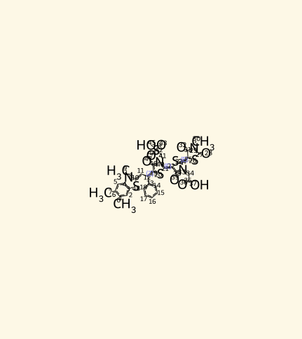 Cc1cc2c(cc1C)N(C)C(=C/C(c1ccccc1)=c1/s/c(=c3/s/c(=C4/SC(=O)N(C)C4=O)n(CC(=O)O)c3=O)n(CS(=O)(=O)O)c1=O)S2